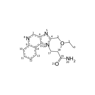 CCOCc1nc2cnc3ccccc3c2n1CCC(N)=O